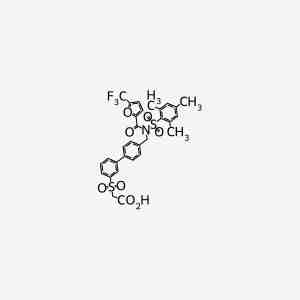 Cc1cc(C)c(S(=O)(=O)N(Cc2ccc(-c3cccc(S(=O)(=O)CC(=O)O)c3)cc2)C(=O)c2ccc(C(F)(F)F)o2)c(C)c1